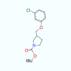 CC(C)(C)OC(=O)N1CCC(COc2cccc(Cl)c2)C1